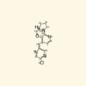 Clc1cnc(Sc2ccnc3c2OC[C@@H]2CCCN32)cn1